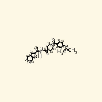 CN(C)Cc1ccc(C(=O)N2CCC3(CC2)CC3CNC(=O)c2cc3ccncc3o2)cc1